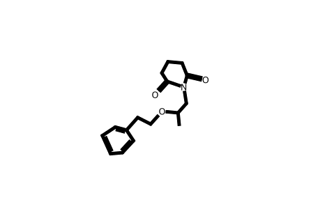 CC(CN1C(=O)CCCC1=O)OCCc1ccccc1